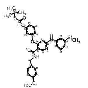 COc1ccc(CNC(=O)c2cnc(Nc3cccc(OC)c3)nc2Oc2cccc(NC(=O)OC(C)(C)C)c2)cc1